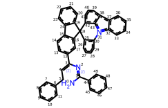 N/C(=N\C(=C/Cc1ccccc1)c1ccc2c(c1)C1(c3ccccc3-2)c2ccccc2-n2c3ccccc3c3cccc1c32)c1ccccc1